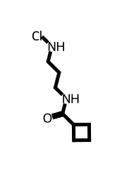 O=C(NCCCNCl)C1CCC1